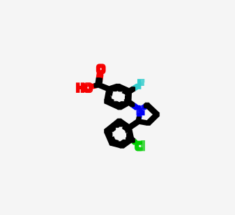 O=C(O)c1ccc(N2CCCC2c2ccccc2Cl)c(F)c1